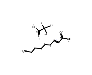 NCCCCC/C=C/C(=O)O.O=C(O)C(F)(F)F